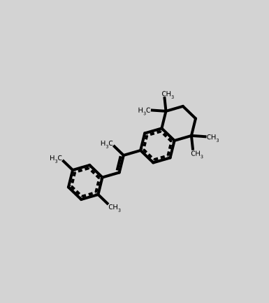 C/C(=C\c1cc(C)ccc1C)c1ccc2c(c1)C(C)(C)CCC2(C)C